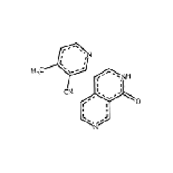 Cc1ccncc1C#N.O=c1[nH]ccc2ccncc12